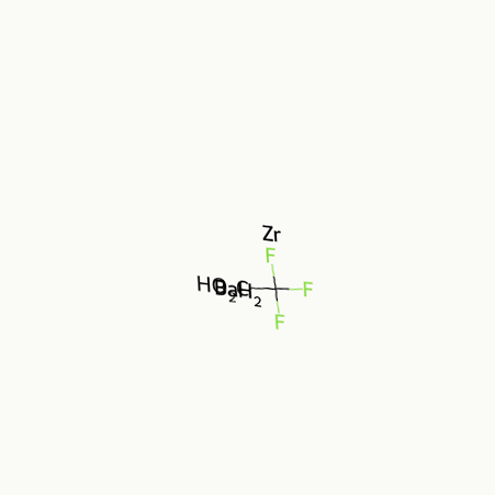 O=C(O)C(F)(F)F.[BaH2].[Zr]